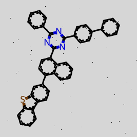 c1ccc(-c2ccc(-c3nc(-c4ccccc4)nc(-c4ccc(-c5ccc6c(c5)sc5ccccc56)c5ccccc45)n3)cc2)cc1